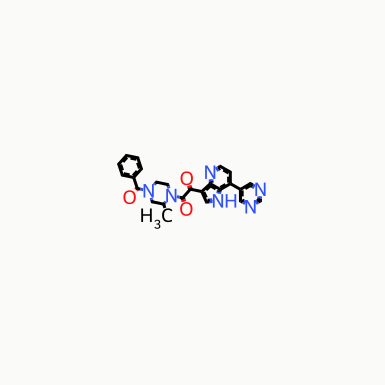 CC1CN(C(=O)c2ccccc2)CCN1C(=O)C(=O)c1c[nH]c2c(-c3cncnc3)ccnc12